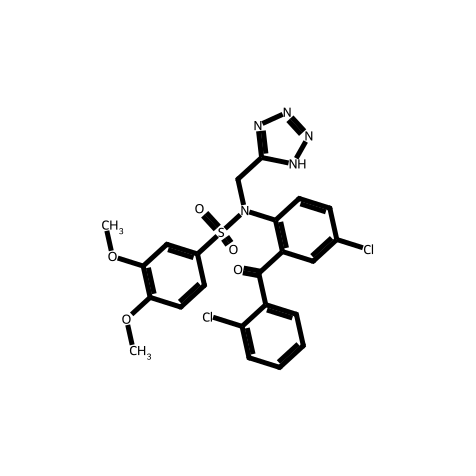 COc1ccc(S(=O)(=O)N(Cc2nnn[nH]2)c2ccc(Cl)cc2C(=O)c2ccccc2Cl)cc1OC